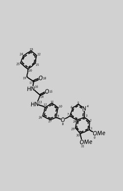 COc1cc2nccc(Oc3ccc(NC(=O)NC(=O)Cc4ccccc4)cc3)c2cc1OC